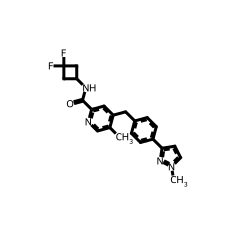 Cc1cnc(C(=O)NC2CC(F)(F)C2)cc1Cc1ccc(-c2ccn(C)n2)cc1